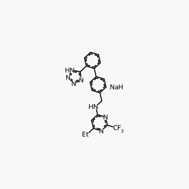 CCc1cc(NCc2ccc(-c3ccccc3-c3nnn[nH]3)cc2)nc(C(F)(F)F)n1.[NaH]